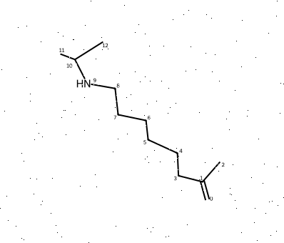 C=C(C)CCCCCCNC(C)C